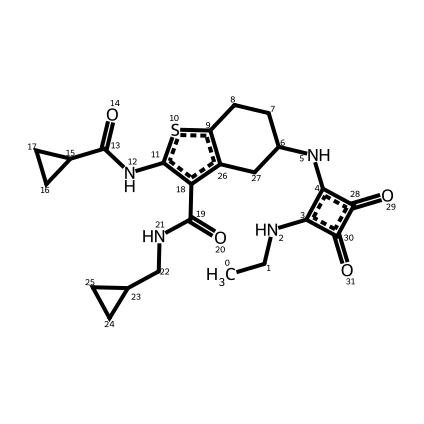 CCNc1c(NC2CCc3sc(NC(=O)C4CC4)c(C(=O)NCC4CC4)c3C2)c(=O)c1=O